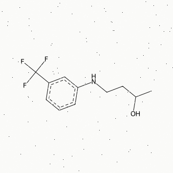 CC(O)CCNc1cccc(C(F)(F)F)c1